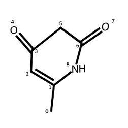 CC1=CC(=O)CC(=O)N1